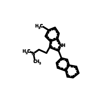 Cc1ccc2[nH]c(-c3ccc4ccccc4c3)c(CCN(C)C)c2c1